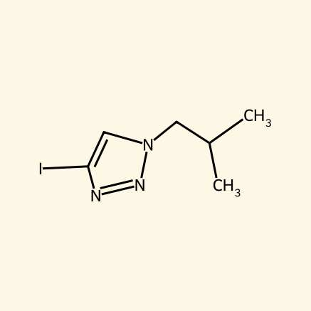 CC(C)Cn1cc(I)nn1